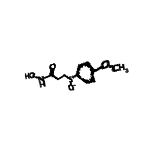 COc1ccc([S+]([O-])CCC(=O)NO)cc1